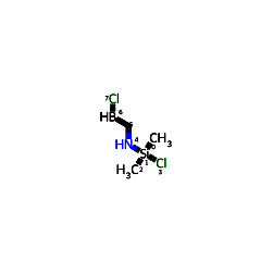 C[Si](C)(Cl)NCBCl